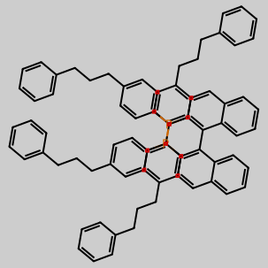 c1ccc(CCCc2ccc(P(c3ccc(CCCc4ccccc4)cc3)c3ccc4ccccc4c3-c3c(P(c4ccc(CCCc5ccccc5)cc4)c4ccc(CCCc5ccccc5)cc4)ccc4ccccc34)cc2)cc1